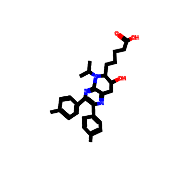 Cc1ccc(-c2nc3c(nc2-c2ccc(C)cc2)N(C(C)C)C(CCCCC(=O)O)C(O)C3)cc1